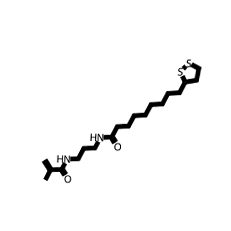 C=C(C)C(=O)NCCCNC(=O)CCCCCCCCC1CCSS1